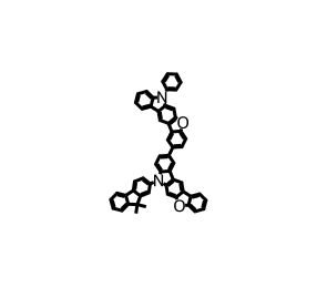 CC1(C)c2ccccc2-c2ccc(-n3c4ccc(-c5ccc6oc7cc8c(cc7c6c5)c5ccccc5n8-c5ccccc5)cc4c4cc5c(cc43)oc3ccccc35)cc21